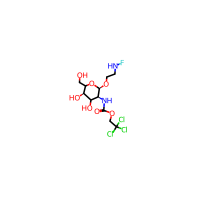 O=C(N[C@H]1C(O)[C@@H](O)C(CO)O[C@H]1OCCNF)OCC(Cl)(Cl)Cl